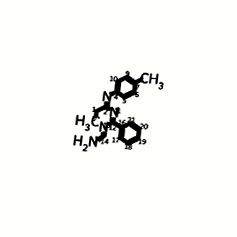 CCC(=N/c1ccc(C)cc1)/N=C(\N=C\N)c1ccccc1